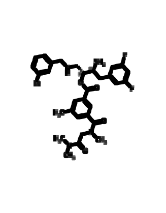 CCc1cccc(CNC[C@@H](OC(=O)c2cc(C)cc(C(=O)N(C)CC(=O)N(C)C)c2)[C@@H](N)Cc2cc(F)cc(F)c2)c1